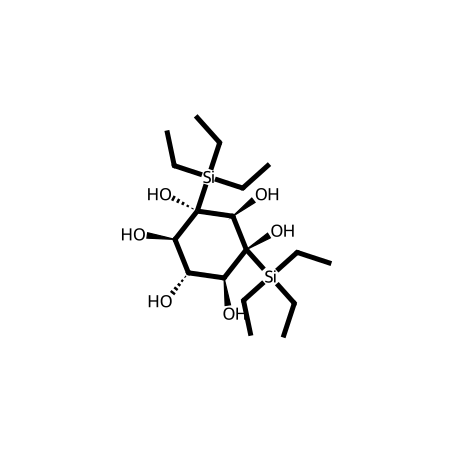 CC[Si](CC)(CC)[C@@]1(O)[C@@H](O)[C@](O)([Si](CC)(CC)CC)[C@@H](O)[C@H](O)[C@H]1O